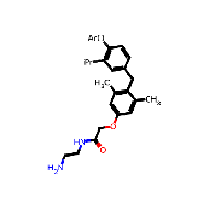 CC(=O)Oc1ccc(Cc2c(C)cc(OCC(=O)NCCN)cc2C)cc1C(C)C